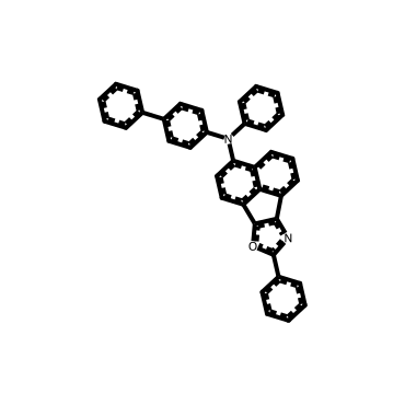 c1ccc(-c2ccc(N(c3ccccc3)c3ccc4c5c(cccc35)-c3nc(-c5ccccc5)oc3-4)cc2)cc1